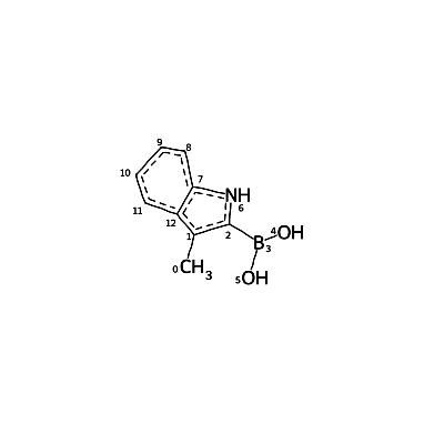 Cc1c(B(O)O)[nH]c2ccccc12